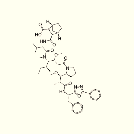 CC[C@H](C)[C@@H]([C@@H](CC(=O)N1CCC[C@H]1[C@H](OC)[C@@H](C)C(=O)N[C@@H](Cc1ccccc1)c1nnc(-c2ccccc2)o1)OC)N(C)C(=O)[C@@H](NC(=O)[C@@H]1[C@H]2CC[C@H](C2)N1C(=O)O)C(C)C